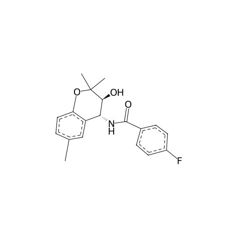 Cc1ccc2c(c1)[C@@H](NC(=O)c1ccc(F)cc1)[C@H](O)C(C)(C)O2